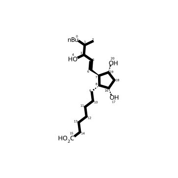 CCCCC(C)C(O)/C=C/[C@@H]1[C@@H](CCCCCCC(=O)O)[C@@H](O)C[C@H]1O